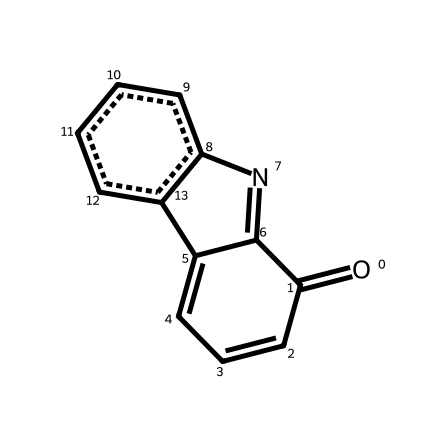 O=C1C=CC=C2C1=Nc1ccccc12